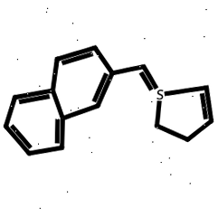 C1=CS(=Cc2ccc3ccccc3c2)CC1